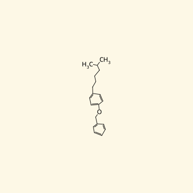 CC(C)CCCCc1ccc(OCc2ccccc2)cc1